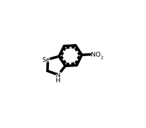 O=[N+]([O-])c1ccc2c(c1)NC[Se]2